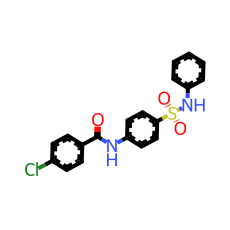 O=C(Nc1ccc(S(=O)(=O)Nc2ccccc2)cc1)c1ccc(Cl)cc1